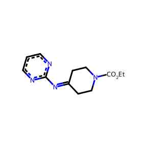 CCOC(=O)N1CCC(=Nc2ncccn2)CC1